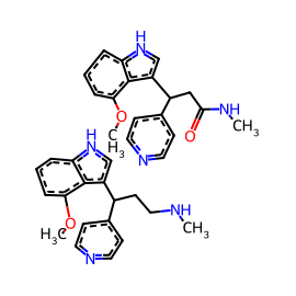 CNC(=O)CC(c1ccncc1)c1c[nH]c2cccc(OC)c12.CNCCC(c1ccncc1)c1c[nH]c2cccc(OC)c12